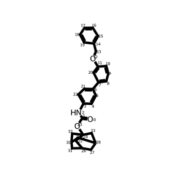 O=C(Nc1ccc(-c2cccc(OCc3ccccc3)c2)cc1)OC12CC3CC(CC(C3)C1)C2